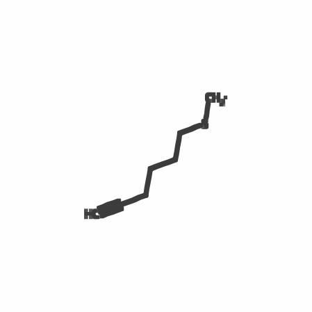 C#CCCCCS[CH2]